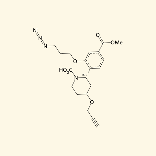 C#CCOC1CCN(C(=O)O)[C@H](c2ccc(C(=O)OC)cc2OCCCN=[N+]=[N-])C1